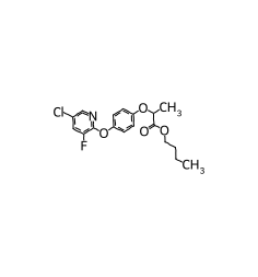 CCCCOC(=O)C(C)Oc1ccc(Oc2ncc(Cl)cc2F)cc1